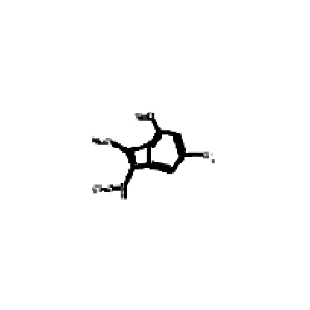 COC1=C(NC=O)c2cc(C)cc(OC)c21